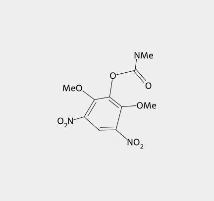 CNC(=O)Oc1c(OC)c([N+](=O)[O-])cc([N+](=O)[O-])c1OC